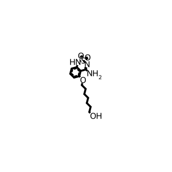 NC1=NS(=O)(=O)Nc2cccc(OCCCCCCCO)c21